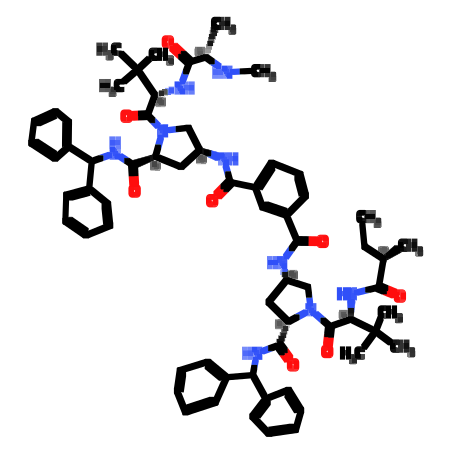 CC[C@@H](C)C(=O)N[C@H](C(=O)N1C[C@@H](NC(=O)c2cccc(C(=O)N[C@H]3C[C@@H](C(=O)NC(c4ccccc4)c4ccccc4)N(C(=O)[C@@H](NC(=O)[C@H](C)NC)C(C)(C)C)C3)c2)C[C@H]1C(=O)NC(c1ccccc1)c1ccccc1)C(C)(C)C